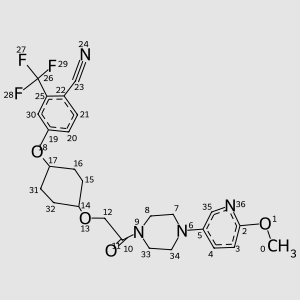 COc1ccc(N2CCN(C(=O)COC3CCC(Oc4ccc(C#N)c(C(F)(F)F)c4)CC3)CC2)cn1